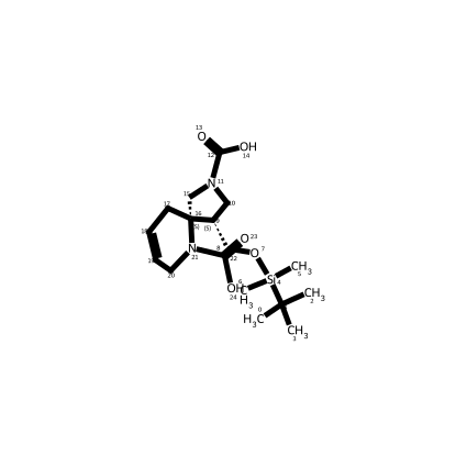 CC(C)(C)[Si](C)(C)OC[C@H]1CN(C(=O)O)C[C@]12CC=CCN2C(=O)O